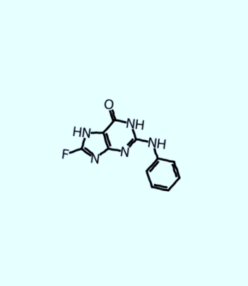 O=c1[nH]c(Nc2ccccc2)nc2nc(F)[nH]c12